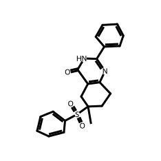 CC1(S(=O)(=O)c2ccccc2)CCc2nc(-c3ccccc3)[nH]c(=O)c2C1